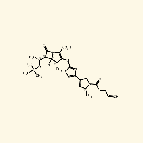 C=CCOC(=O)N1CC(c2csc(SC3=C(C(=O)O)N4C(=O)[C@H]([C@@H](C)O[Si](C)(C)C)[C@H]4[C@H]3C)n2)=C[C@@H]1C